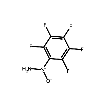 N[S+]([O-])c1c(F)c(F)c(F)c(F)c1F